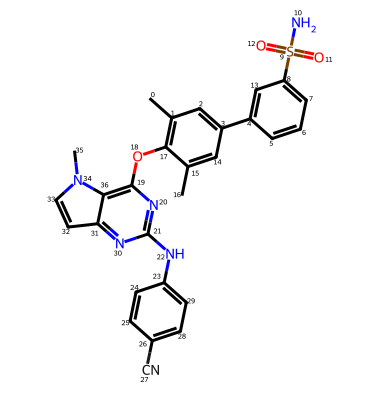 Cc1cc(-c2cccc(S(N)(=O)=O)c2)cc(C)c1Oc1nc(Nc2ccc(C#N)cc2)nc2ccn(C)c12